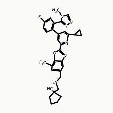 Cn1cnnc1-c1cc(F)ccc1-c1cc(-c2nc3cc(CNCC4(C#N)CCCC4)cc(C(F)(F)F)c3o2)nc(C2CC2)c1